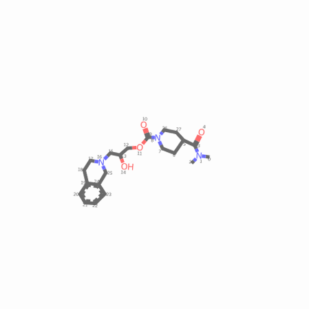 CN(C)C(=O)C1CCN(C(=O)OCC(O)CN2CCc3ccccc3C2)CC1